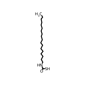 CCCCCCCCCCCCCCCCCCNC(=O)S